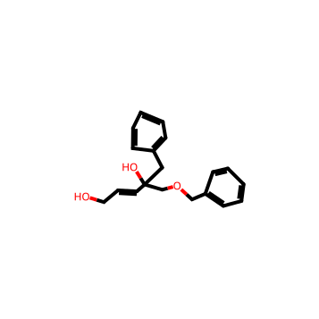 OCC=CC(O)(COCc1ccccc1)Cc1ccccc1